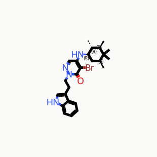 C[C@@H]1[C@@H](C)C(C)(C)[C@@H](C)C[C@H]1Nc1cnn(CCc2c[nH]c3ccccc23)c(=O)c1Br